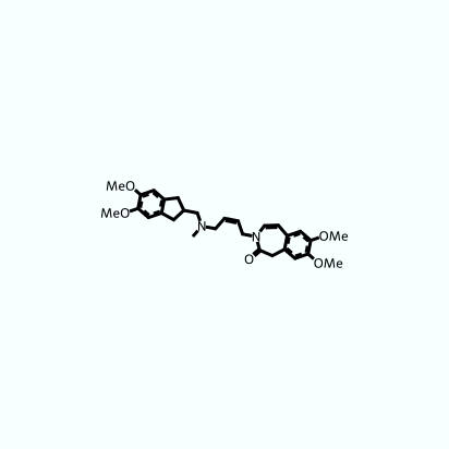 COc1cc2c(cc1OC)CC(=O)N(C/C=C\CN(C)CC1Cc3cc(OC)c(OC)cc3C1)C=C2